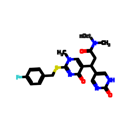 CCCCCCCCN(C)C(=O)CC(c1cnc(=O)[nH]c1)c1cn(C)c(SCc2ccc(F)cc2)nc1=O